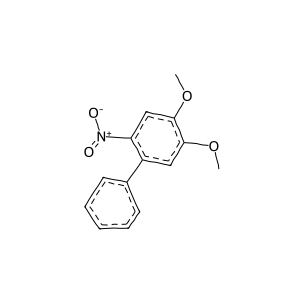 COc1cc(-c2ccccc2)c([N+](=O)[O-])cc1OC